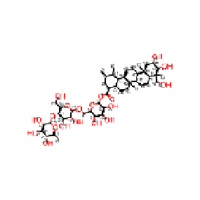 CC1CC(C(=O)OC2OC(COC3OC(CO)[C@@H](OC4OC(C)[C@H](O)C(O)[C@@H]4O)C(O)[C@@H]3O)[C@@H](O)C(O)[C@@H]2O)C2CCC3(C)C(=CCC4C3CCC3C(C)(CO)C(O)C(O)CC43C)C2C1C